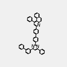 c1ccc(-c2cccc(-c3cc(-c4ccccc4)nc(-c4ccc(-c5ccc(-c6cc(-c7ccccc7)c7c(ccc8ccccc87)n6)cc5)cc4)n3)c2)cc1